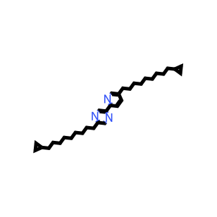 c1cc(-c2cnc(CCCCCCCCCC3CC3)cn2)ncc1CCCCCCCCCC1CC1